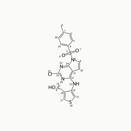 Cc1ccc(S(=O)(=O)n2ccc3c(Nc4cscc4C(=O)O)nc(Cl)nc32)cc1